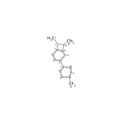 CC1c2ccc(-c3ccc(C(F)(F)F)cc3)cc2C1C